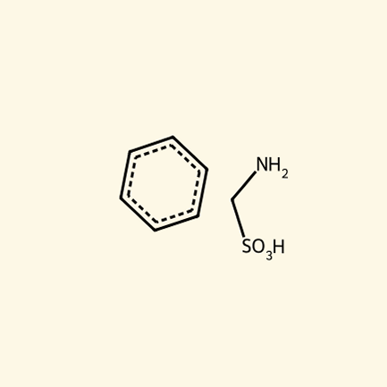 NCS(=O)(=O)O.c1ccccc1